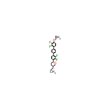 BCOc1ccc(-c2ccc(-c3ccc(C4CCC(CCC)CO4)c(F)c3F)cc2)c(F)c1F